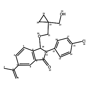 C=C(C)c1ccc2c(c1)C(=O)N(c1ccc(Cl)cc1)C2OCC1(CO)CC1